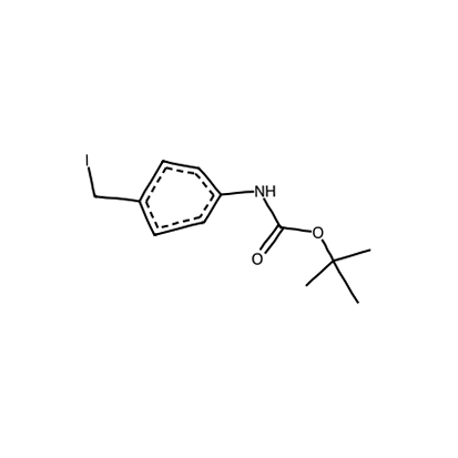 CC(C)(C)OC(=O)Nc1ccc(CI)cc1